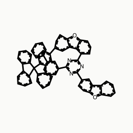 c1ccc(-c2cccc(-c3nc(-c4ccc5oc6ccccc6c5c4)nc(-c4cccc5oc6ccc(-c7ccc8c(c7)-c7ccccc7C87c8ccccc8-c8ccccc87)cc6c45)n3)c2)cc1